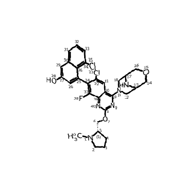 CN1CCC[C@H]1COc1nc(N2CC3COCC(C2)N3)c2cc(Cl)c(-c3cc(O)cc4cccc(Cl)c34)c(F)c2n1